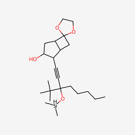 CCCCCC(C#CC1C(O)CC2C1CC21OCCO1)(O[SiH](C)C)C(C)(C)C